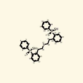 S=P(S)(c1ccccc1)c1ccccc1CCSCCc1ccccc1P(=S)(S)c1ccccc1